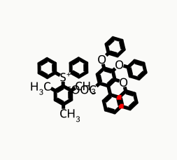 Cc1cc(C)c([S+](c2ccccc2)c2ccccc2)c(C)c1.O=C([O-])c1cc(Oc2ccccc2)c(Oc2ccccc2)c(Oc2ccccc2)c1-c1ccccc1